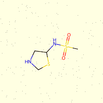 CS(=O)(=O)NC1CNCS1